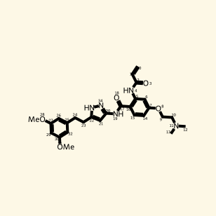 C=CC(=O)Nc1cc(OCCN(C)C)ccc1C(=O)Nc1cc(CCc2cc(OC)cc(OC)c2)[nH]n1